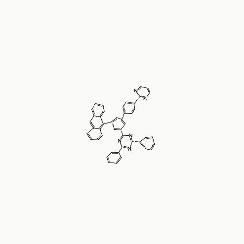 c1ccc(-c2nc(-c3ccccc3)nc(-c3cc(-c4ccc(-c5ncccn5)cc4)cc(-c4c5ccccc5cc5ccccc45)c3)n2)cc1